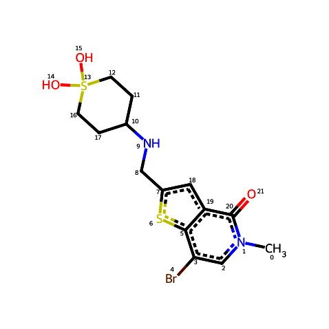 Cn1cc(Br)c2sc(CNC3CCS(O)(O)CC3)cc2c1=O